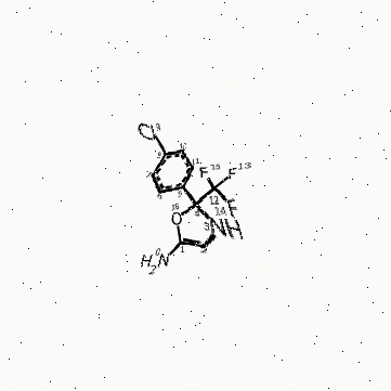 NC1=CNC(c2ccc(Cl)cc2)(C(F)(F)F)O1